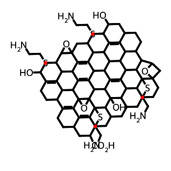 NCCSC12CC3CC45OC4C4(SCCN)CC(O)C6=C7C8C(CC6)C6=C9C%10=C%11C(CC%12CC%13CC%14CCC%15%16CC(O%15)C%15C%17CCC(CC1O)C1=C2C2C3C3=C5C(C5=C%18C3C3C%19=C%20C(C%13C%13(O)C%19C%18C%18(OC9%18C58)C%11(SCCN)C%12%13)C%14C%16(SCCN)C%15C%20C(C1%17)C32)C74)C(C(=O)O)CC%10CC6